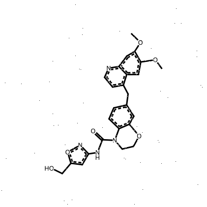 COc1cc2nccc(Cc3ccc4c(c3)OCCN4C(=O)Nc3cc(CO)on3)c2cc1OC